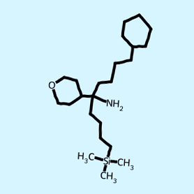 C[Si](C)(C)CCCCC(N)(CCCCC1CCCCC1)C1CCOCC1